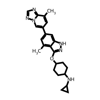 Cc1cc(-c2cc(C)c3ncnn3c2)cc2[nH]nc(OC3CCC(NC4CC4)CC3)c12